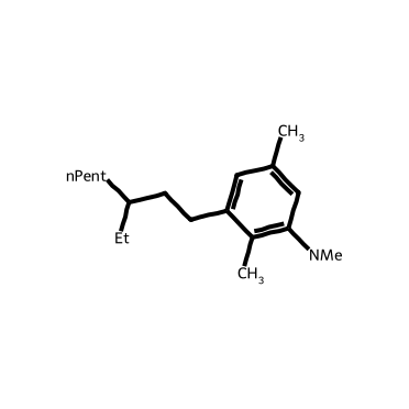 CCCCCC(CC)CCc1cc(C)cc(NC)c1C